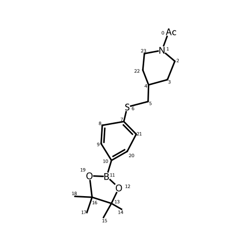 CC(=O)N1CCC(CSc2ccc(B3OC(C)(C)C(C)(C)O3)cc2)CC1